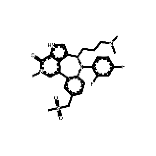 CN(C)CCCC1c2c[nH]c3c(=O)n(C)cc(c23)-c2cc(CS(C)(=O)=O)ccc2N1c1ccc(F)cc1F